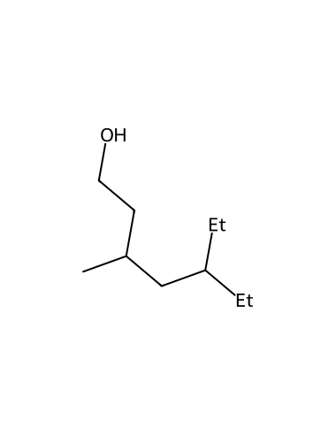 CCC(CC)CC(C)CCO